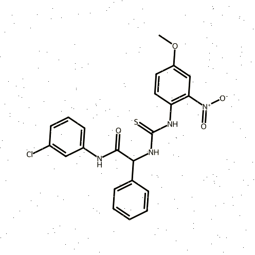 COc1ccc(NC(=S)NC(C(=O)Nc2cccc(Cl)c2)c2ccccc2)c([N+](=O)[O-])c1